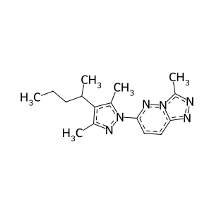 CCCC(C)c1c(C)nn(-c2ccc3nnc(C)n3n2)c1C